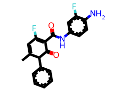 CC1=CC(F)=C(C(=O)Nc2ccc(N)c(F)c2)C(=O)C1c1ccccc1